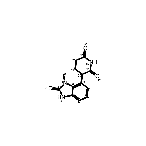 Cn1c(=O)[nH]c2cccc(C3CCC(=O)NC3=O)c21